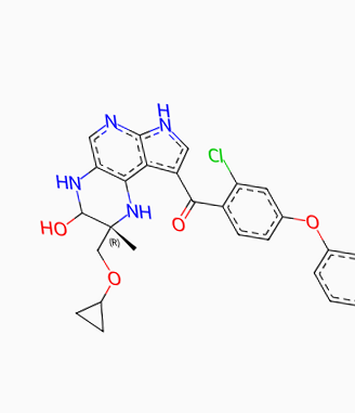 C[C@]1(COC2CC2)Nc2c(cnc3[nH]cc(C(=O)c4ccc(Oc5ccccc5)cc4Cl)c23)NC1O